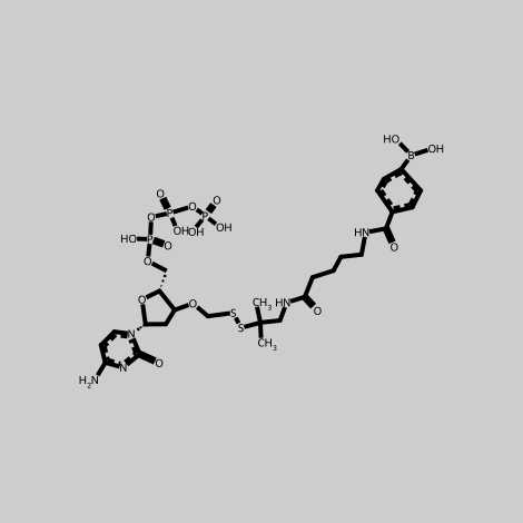 CC(C)(CNC(=O)CCCCNC(=O)c1ccc(B(O)O)cc1)SSCOC1C[C@H](n2ccc(N)nc2=O)O[C@@H]1COP(=O)(O)OP(=O)(O)OP(=O)(O)O